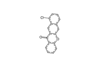 O=c1c2ccccc2oc2cc3cccc(Cl)c3cc12